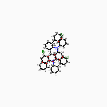 Clc1cc(N(c2cccc(Br)c2)c2c(-c3ccccc3)cccc2-c2ccccc2)cc(N(c2cccc(Br)c2)c2c(-c3ccccc3)cccc2-c2ccccc2)c1